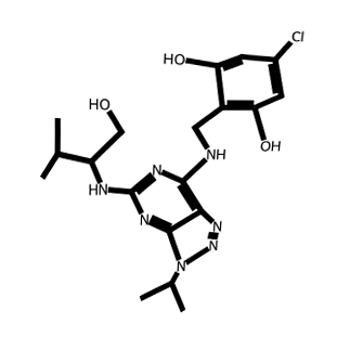 CC(C)C(CO)Nc1nc(NCc2c(O)cc(Cl)cc2O)c2nnn(C(C)C)c2n1